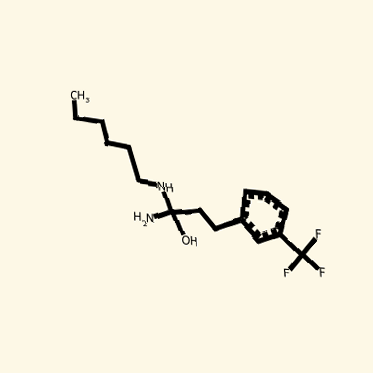 CCCCCCNC(N)(O)CCc1cccc(C(F)(F)F)c1